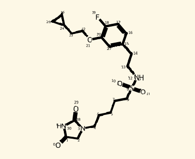 O=C1CN(CCCCCS(=O)(=O)NCCc2ccc(F)c(OCCC3CC3)c2)C(=O)N1